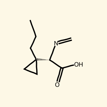 C=N[C@H](C(=O)O)C1(CCC)CC1